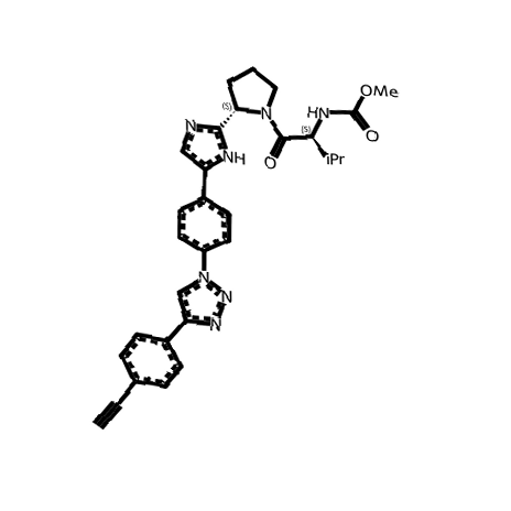 C#Cc1ccc(-c2cn(-c3ccc(-c4cnc([C@@H]5CCCN5C(=O)[C@@H](NC(=O)OC)C(C)C)[nH]4)cc3)nn2)cc1